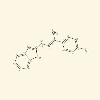 C/C(=N\Nc1nc2ccccc2s1)c1ccc(Cl)cc1